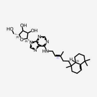 C/C(=C\CNc1ncnc2c1ncn2[C@@H]1O[C@H](CO)C(O)C1O)CCC1(C)CCC=C2[C@H]1CCCC2(C)C